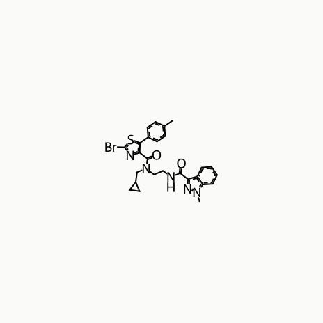 Cc1ccc(-c2sc(Br)nc2C(=O)N(CCNC(=O)c2nn(C)c3ccccc23)CC2CC2)cc1